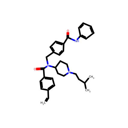 C=Cc1ccc(C(=O)N(Cc2ccc(C(=O)Nc3ccccc3)cc2)C2CCN(CCC(C)C)CC2)cc1